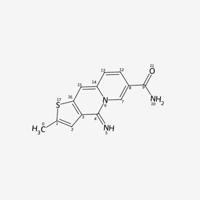 Cc1cc2c(=N)n3cc(C(N)=O)ccc3cc2s1